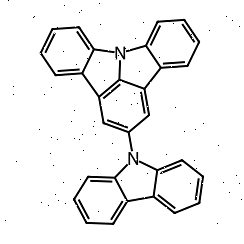 c1ccc2c(c1)c1ccccc1n2-c1cc2c3ccccc3n3c4ccccc4c(c1)c23